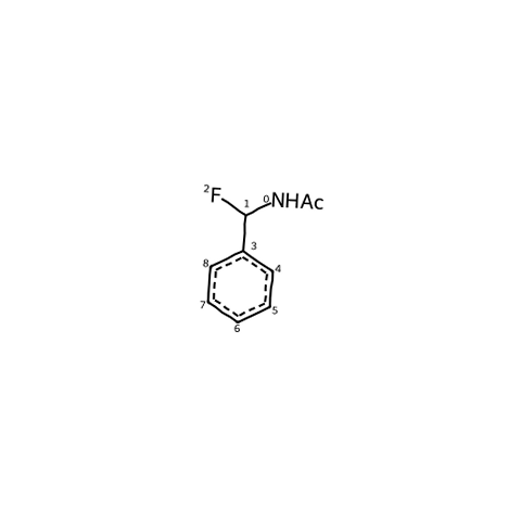 CC(=O)NC(F)c1ccccc1